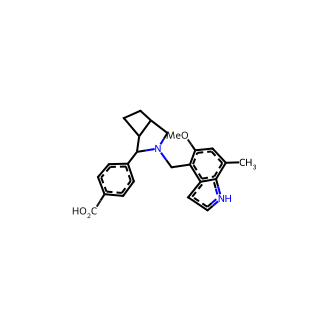 COc1cc(C)c2[nH]ccc2c1CN1CC2CCC2C1c1ccc(C(=O)O)cc1